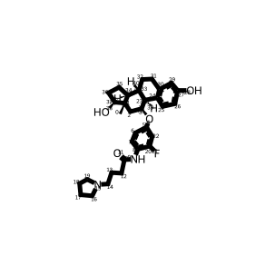 C[C@]12C[C@H](Oc3ccc(NC(=O)CCCN4CCCC4)c(F)c3)[C@@H]3c4ccc(O)cc4CC[C@H]3[C@@H]1CC[C@@H]2O